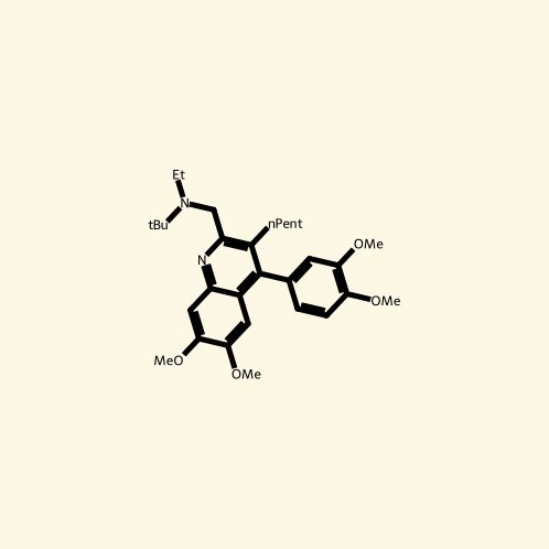 CCCCCc1c(CN(CC)C(C)(C)C)nc2cc(OC)c(OC)cc2c1-c1ccc(OC)c(OC)c1